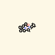 Cc1cc2c3c(c1)N(c1cc4c(cc1C)C(C)(C)CCC4(C)C)c1oc4ccccc4c1B3N1c3ccccc3C(c3ccccc3)(c3ccccc3)c3cccc-2c31